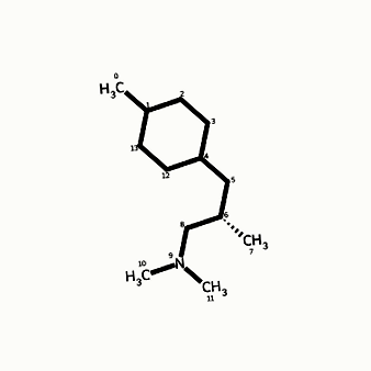 CC1CCC(C[C@H](C)CN(C)C)CC1